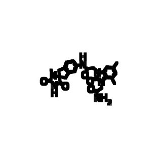 Cc1cc(C)c2c(c1)n(CC(=O)Nc1ccc3c(c1)CC1(C3)C(=O)NC(=O)N1C)c(=O)n2CC(N)=O